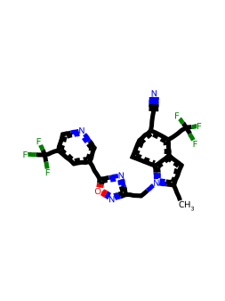 Cc1cc2c(C(F)(F)F)c(C#N)ccc2n1Cc1noc(-c2cncc(C(F)(F)F)c2)n1